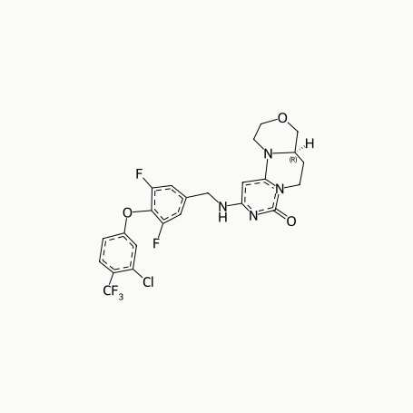 O=c1nc(NCc2cc(F)c(Oc3ccc(C(F)(F)F)c(Cl)c3)c(F)c2)cc2n1CC[C@@H]1COCCN21